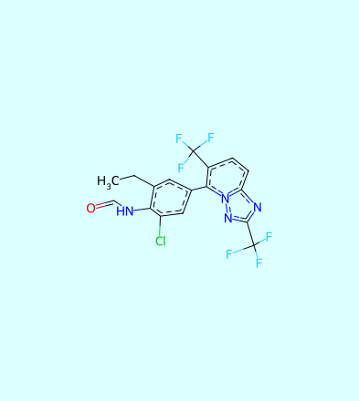 CCc1cc(-c2c(C(F)(F)F)ccc3nc(C(F)(F)F)nn23)cc(Cl)c1NC=O